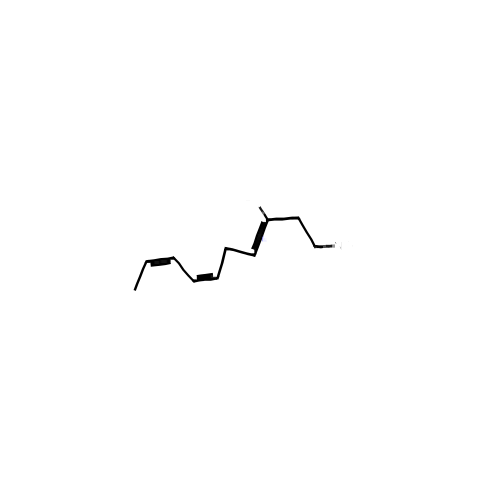 C/C=C\C=C/C/C=C(\CC)CCN=O